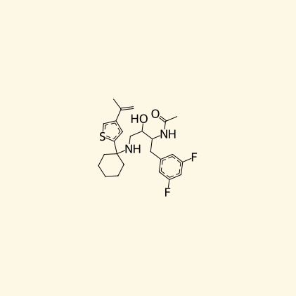 C=C(C)c1csc(C2(NCC(O)C(Cc3cc(F)cc(F)c3)NC(C)=O)CCCCC2)c1